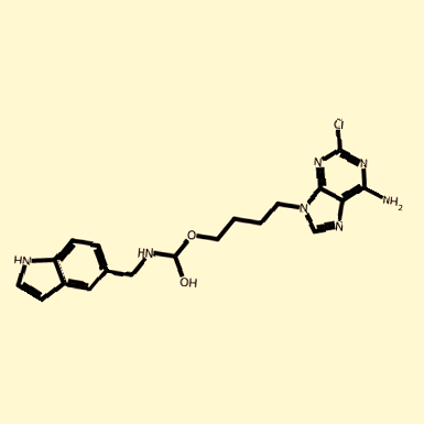 Nc1nc(Cl)nc2c1ncn2CCCCOC(O)NCc1ccc2[nH]ccc2c1